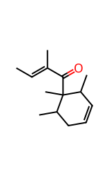 CC=C(C)C(=O)C1(C)C(C)C=CCC1C